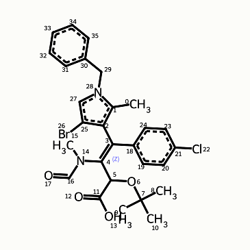 Cc1c(/C(=C(/C(OC(C)(C)C)C(=O)O)N(C)C=O)c2ccc(Cl)cc2)c(Br)cn1Cc1ccccc1